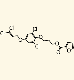 O=C(OCCCOc1c(Cl)cc(OCC=C(Cl)Cl)cc1Cl)c1ccco1